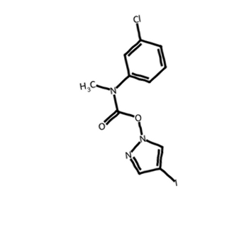 CN(C(=O)On1cc(I)cn1)c1cccc(Cl)c1